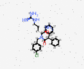 N=C(N)NCCC[C@H](C(N)=O)N(Cc1ccc(Cl)cc1)C(=O)C(c1ccccc1)c1ccccc1